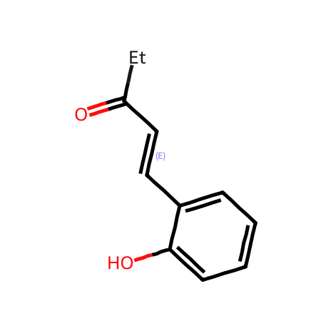 CCC(=O)/C=C/c1ccccc1O